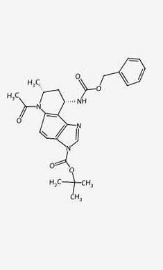 CC(=O)N1c2ccc3c(ncn3C(=O)OC(C)(C)C)c2[C@@H](NC(=O)OCc2ccccc2)C[C@H]1C